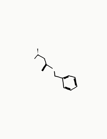 C[C@H](O)CC(=O)OCc1ccccc1